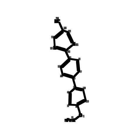 CCCCCOc1ccc(-c2ccc(-c3ncc(C#N)cn3)cc2)cc1